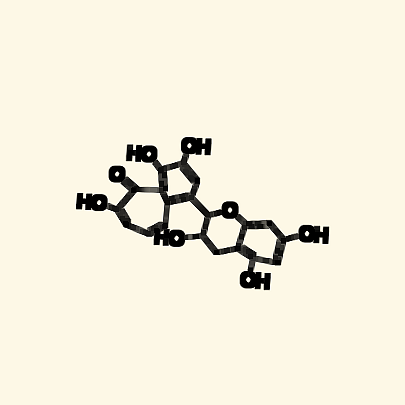 O=c1c(O)cccc2c(C3Oc4cc(O)cc(O)c4CC3O)cc(O)c(O)c12